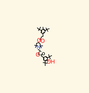 Cc1c(C(C)(C)C)cc(CCC(=O)OC2CC(C)(C)N(C[CH2][Co](=[O])[CH2]Cc3cc(C(C)(C)C)c(O)c(C(C)(C)C)c3)C(C)(C)C2)cc1C(C)(C)C